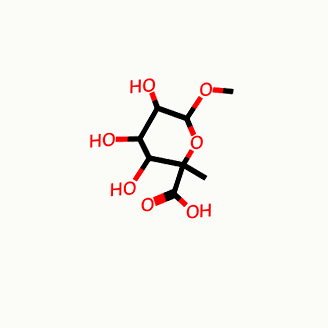 COC1OC(C)(C(=O)O)C(O)C(O)C1O